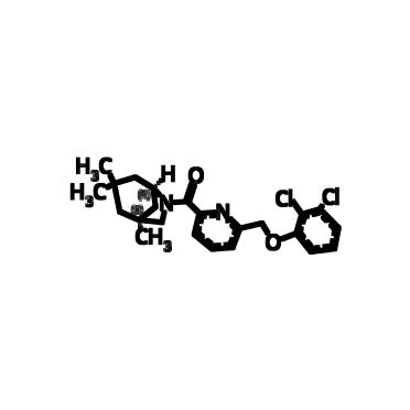 CC1(C)C[C@@H]2C[C@@](C)(CN2C(=O)c2cccc(COc3cccc(Cl)c3Cl)n2)C1